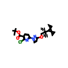 [2H]C([2H])(COc1ccn(-c2ccc(C(=O)OC(C)(C)C)c(Cl)n2)n1)C1C2(CC2)C12CC2